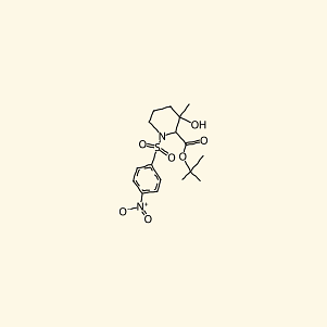 CC(C)(C)OC(=O)C1N(S(=O)(=O)c2ccc([N+](=O)[O-])cc2)CCCC1(C)O